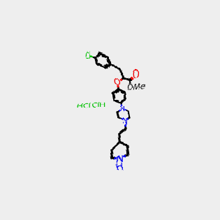 COC(=O)C(Cc1ccc(Cl)cc1)Oc1ccc(N2CCN(CCC3CCNCC3)CC2)cc1.Cl.Cl